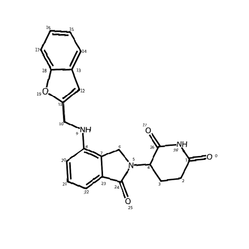 O=C1CCC(N2Cc3c(NCc4cc5ccccc5o4)cccc3C2=O)C(=O)N1